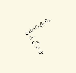 [Co].[Co].[Cr+3].[Cr+3].[Fe].[Fe].[O-2].[O-2].[O-2]